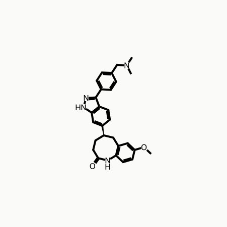 COc1ccc2c(c1)C[C@H](c1ccc3c(-c4ccc(CN(C)C)cc4)n[nH]c3c1)CCC(=O)N2